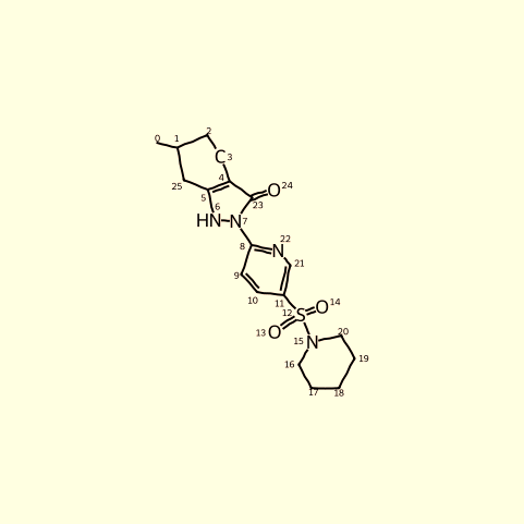 CC1CCc2c([nH]n(-c3ccc(S(=O)(=O)N4CCCCC4)cn3)c2=O)C1